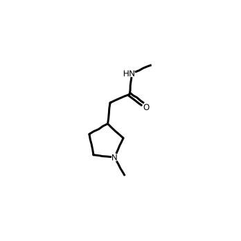 CNC(=O)CC1CCN(C)C1